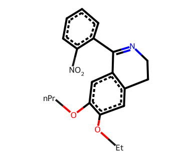 CCCOc1cc2c(cc1OCC)CCN=C2c1ccccc1[N+](=O)[O-]